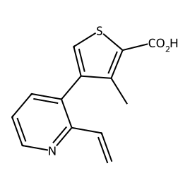 C=Cc1ncccc1-c1csc(C(=O)O)c1C